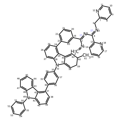 C=N/C(=N\C(=N/Cc1ccccn1)c1ccccn1)c1cccc(-c2cccc3c2c2c(n3-c3ccc(-c4cccc5c4c4ccccc4n5-c4ccccc4)cc3)=CCC(C)C=2)c1